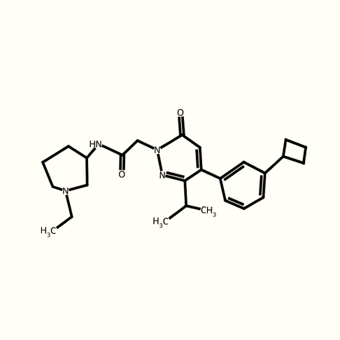 CCN1CCCC(NC(=O)Cn2nc(C(C)C)c(-c3cccc(C4CCC4)c3)cc2=O)C1